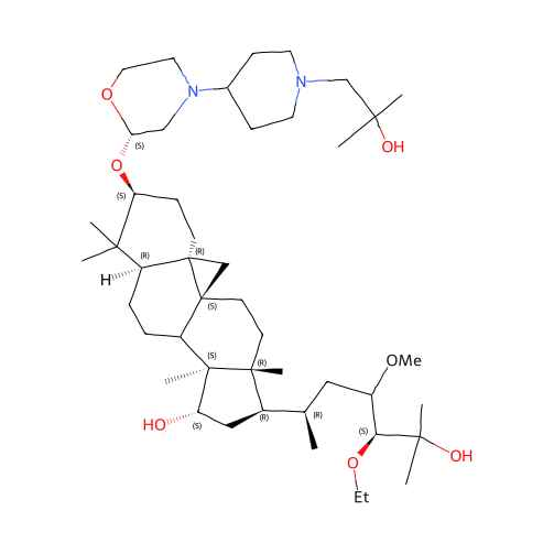 CCO[C@@H](C(C[C@@H](C)[C@H]1C[C@H](O)[C@@]2(C)C3CC[C@H]4C(C)(C)[C@@H](O[C@H]5CN(C6CCN(CC(C)(C)O)CC6)CCO5)CC[C@@]45C[C@@]35CC[C@]12C)OC)C(C)(C)O